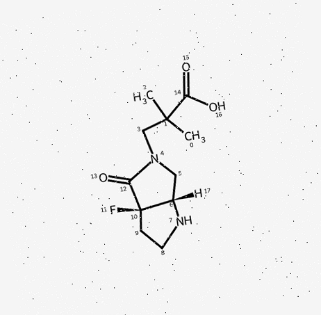 CC(C)(CN1C[C@@H]2NCC[C@]2(F)C1=O)C(=O)O